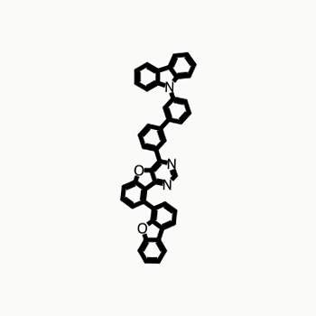 c1cc(-c2cccc(-n3c4ccccc4c4ccccc43)c2)cc(-c2ncnc3c2oc2cccc(-c4cccc5c4oc4ccccc45)c23)c1